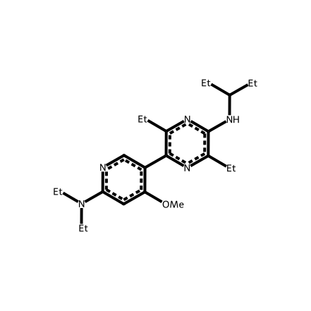 CCc1nc(-c2cnc(N(CC)CC)cc2OC)c(CC)nc1NC(CC)CC